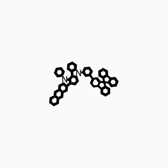 C1=C(c2cccc(-n3c4ccccc4c4c3ccc3c5cc6cc7ccccc7cc6cc5n(-c5ccccc5)c34)c2)C=C2C(C1)c1ccccc1C21c2ccccc2-c2ccccc21